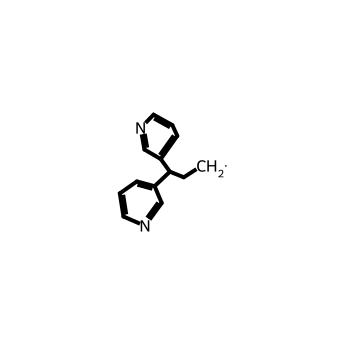 [CH2]CC(c1cccnc1)c1cccnc1